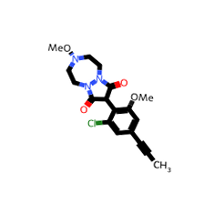 CC#Cc1cc(Cl)c(C2C(=O)N3CCN(OC)CCN3C2=O)c(OC)c1